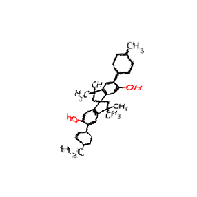 CC1CCC(c2cc3c(cc2O)C2(CC3(C)C)CC(C)(C)c3cc(C4CCC(C)CC4)c(O)cc32)CC1